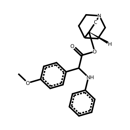 COc1ccc(C(Nc2ccccc2)C(=O)O[C@H]2CN3CCC2CC3)cc1